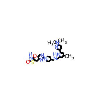 Cc1cc(CNCC2CCN(c3nccc(C=C4SC(=O)NC4=O)n3)CC2)nc(-c2ccc(N(C)C)nc2)c1